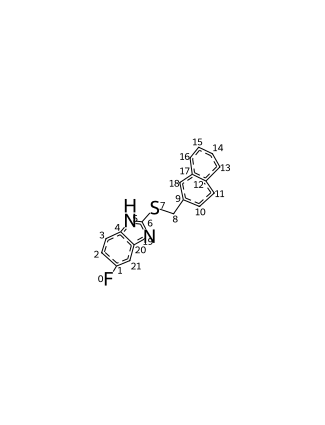 Fc1ccc2[nH]c(SCc3ccc4ccccc4c3)nc2c1